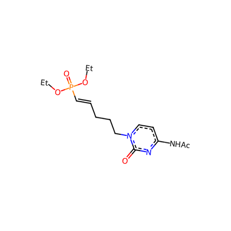 CCOP(=O)(C=CCCCn1ccc(NC(C)=O)nc1=O)OCC